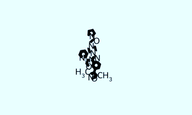 Cc1noc(C)c1-c1ccc2nc(N3CCN(CC(=O)N4CCCC4)CC3)n3c2c1OC[C@@H]3c1ccccn1